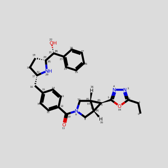 CCc1nnc([C@H]2[C@@H]3CN(C(=O)c4ccc(C[C@@H]5CC[C@H]([C@H](O)c6ccccc6)N5)cc4)C[C@@H]32)o1